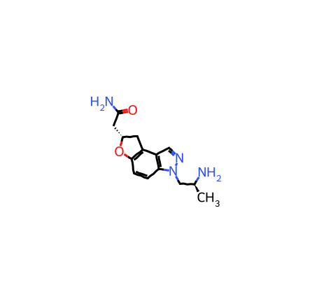 C[C@H](N)Cn1ncc2c3c(ccc21)O[C@H](CC(N)=O)C3